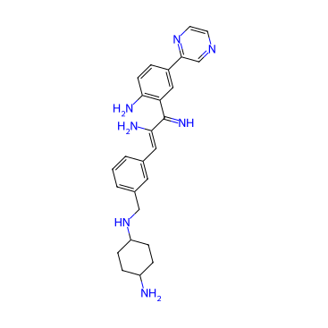 N=C(/C(N)=C/c1cccc(CNC2CCC(N)CC2)c1)c1cc(-c2cnccn2)ccc1N